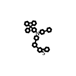 c1ccc(-c2ccc(N(c3ccc(-c4cccc(-c5ccc6sc7ccccc7c6c5)c4)cc3)c3ccc(C4(c5ccccc5)c5ccccc5-c5ccccc54)cc3)cc2)cc1